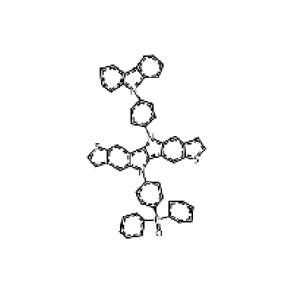 O=P(c1ccccc1)(c1ccccc1)c1ccc(-n2c3cc4ccsc4cc3c3c2c2cc4sccc4cc2n3-c2ccc(-n3c4ccccc4c4ccccc43)cc2)cc1